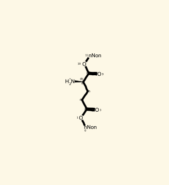 CCCCCCCCCOC(=O)CC[C@@H](N)C(=O)OCCCCCCCCC